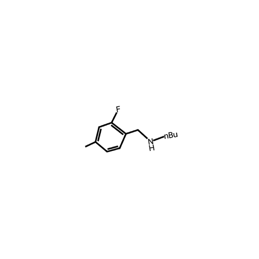 CCCCNCc1ccc(C)cc1F